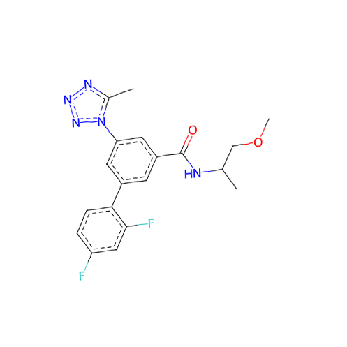 COCC(C)NC(=O)c1cc(-c2ccc(F)cc2F)cc(-n2nnnc2C)c1